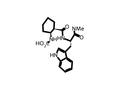 CNC(=O)[C@H](Cc1c[nH]c2ccccc12)NC(=O)[C@@H]1CCCC[C@@H]1NC(=O)O